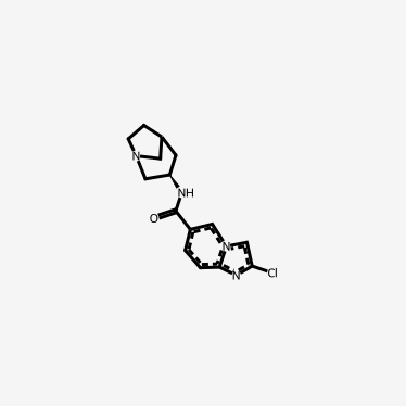 O=C(N[C@@H]1CC2CCN(C2)C1)c1ccc2nc(Cl)cn2c1